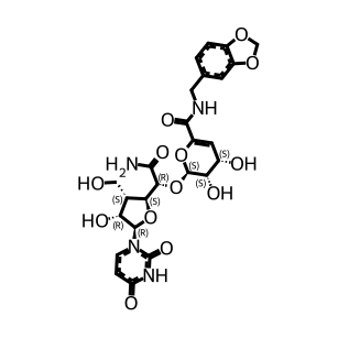 NC(=O)[C@H](O[C@H]1OC(C(=O)NCc2ccc3c(c2)OCO3)=C[C@H](O)[C@@H]1O)[C@H]1O[C@@H](n2ccc(=O)[nH]c2=O)[C@H](O)[C@@H]1CO